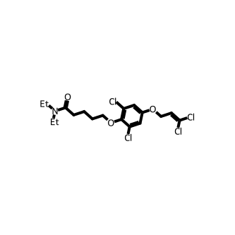 CCN(CC)C(=O)CCCCOc1c(Cl)cc(OCC=C(Cl)Cl)cc1Cl